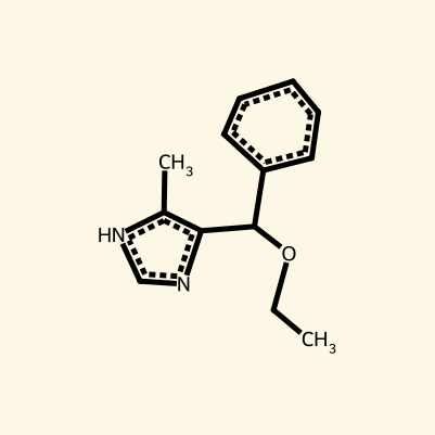 CCOC(c1ccccc1)c1nc[nH]c1C